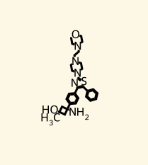 C[C@]1(O)C[C@](N)(c2ccc(-c3nc(N4CCN(CCN5CCOCC5)CC4)sc3-c3ccccc3)cc2)C1